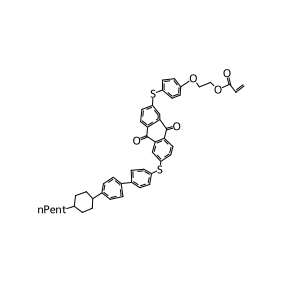 C=CC(=O)OCCOc1ccc(Sc2ccc3c(c2)C(=O)c2ccc(Sc4ccc(-c5ccc(C6CCC(CCCCC)CC6)cc5)cc4)cc2C3=O)cc1